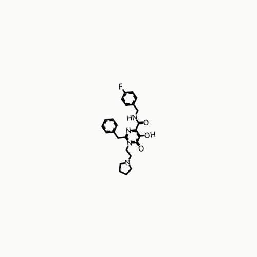 O=C(NCc1ccc(F)cc1)c1nc(Cc2ccccc2)n(CCN2CCCC2)c(=O)c1O